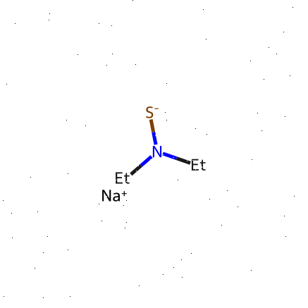 CCN([S-])CC.[Na+]